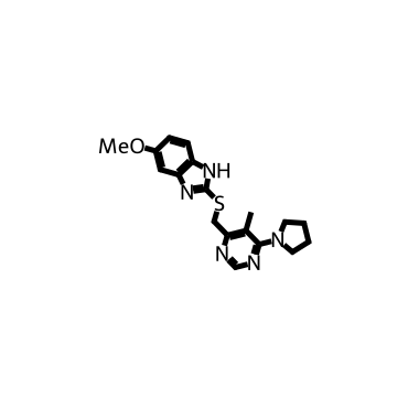 COc1ccc2[nH]c(SCc3ncnc(N4CCCC4)c3C)nc2c1